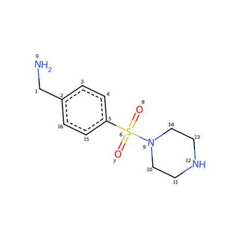 NCc1ccc(S(=O)(=O)N2CCNCC2)cc1